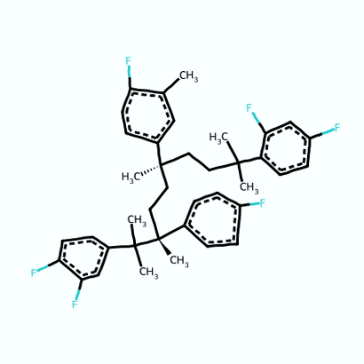 Cc1cc([C@@](C)(CCC(C)(C)c2ccc(F)cc2F)CC[C@](C)(c2ccc(F)cc2)C(C)(C)c2ccc(F)c(F)c2)ccc1F